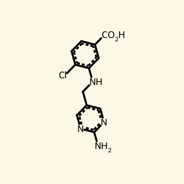 Nc1ncc(CNc2cc(C(=O)O)ccc2Cl)cn1